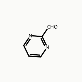 O=[C]c1ncccn1